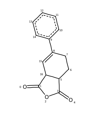 O=C1OC(=O)C2CCC(c3ccccc3)=CC12